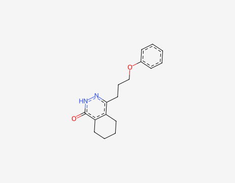 O=c1[nH]nc(CCCOc2ccccc2)c2c1CCCC2